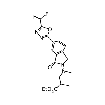 CCOC(=O)C(C)CN(C)N1Cc2ccc(-c3nnc(C(F)F)o3)cc2C1=O